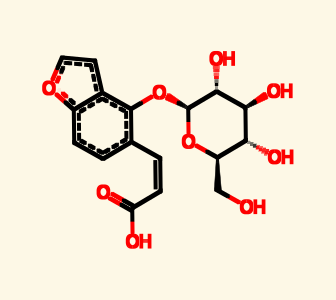 O=C(O)/C=C\c1ccc2occc2c1O[C@@H]1O[C@H](CO)[C@@H](O)[C@H](O)[C@H]1O